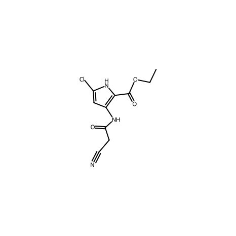 CCOC(=O)c1[nH]c(Cl)cc1NC(=O)CC#N